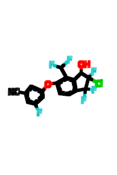 N#Cc1cc(F)cc(Oc2ccc3c(c2C(F)F)C(O)C(F)(Cl)C3(F)F)c1